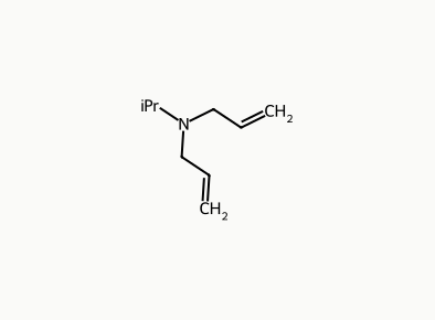 C=CCN(CC=C)C(C)C